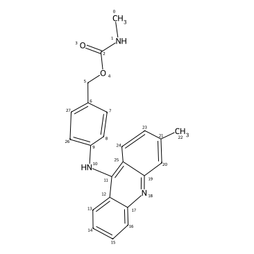 CNC(=O)OCc1ccc(Nc2c3ccccc3nc3cc(C)ccc23)cc1